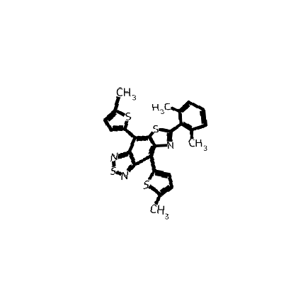 Cc1ccc(-c2c3nsnc3c(-c3ccc(C)s3)c3sc(-c4c(C)cccc4C)nc23)s1